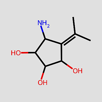 CC(C)=C1C(N)C(O)C(O)C1O